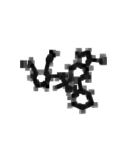 CC(O)(Nc1ncnc(N)c1C#N)c1cc2ncc(Cl)n2nc1-c1ccccc1